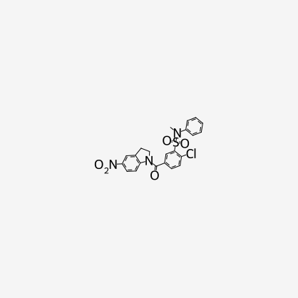 CN(c1ccccc1)S(=O)(=O)c1cc(C(=O)N2CCc3cc([N+](=O)[O-])ccc32)ccc1Cl